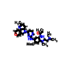 C=CC(=O)Nc1cc(Nc2nccc(N3CC4(C=COC=C4)c4nc(C)ccc43)n2)c(OC)cc1N(C)CCN(C)C